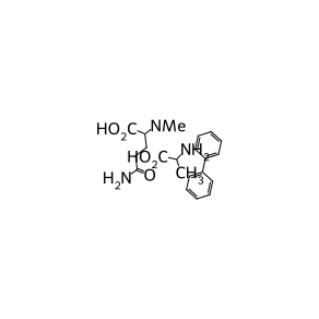 CC(N)C(=O)O.CNC(CCC(N)=O)C(=O)O.c1ccc(-c2ccccc2)cc1